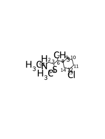 CNCC(SC)C(C)C1CCCC(Cl)C1